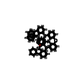 c1ccc([Si]23c4ccccc4-c4cccc(c42)B2c4cccc5c4N4c6c(cccc6B6c7cccc8c7[Si](c7ccccc7)(c7ccccc7-8)c7cc3c2c4c76)O5)cc1